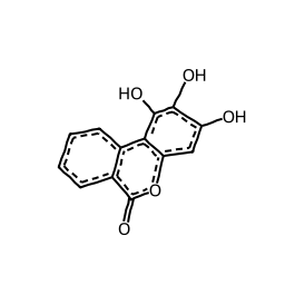 O=c1oc2cc(O)c(O)c(O)c2c2ccccc12